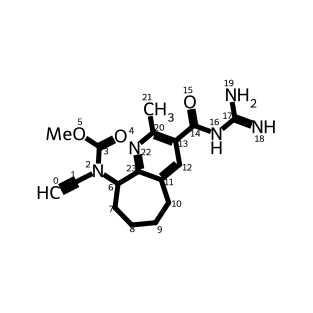 C#CN(C(=O)OC)C1CCCCc2cc(C(=O)NC(=N)N)c(C)nc21